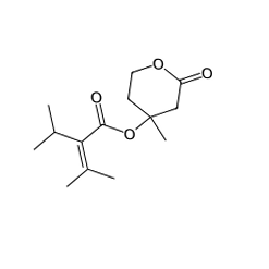 CC(C)=C(C(=O)OC1(C)CCOC(=O)C1)C(C)C